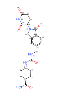 NC(=O)[C@H]1CC[C@@H](NC(=O)NCc2ccc3c(c2)CN(C2CCC(=O)NC2=O)C3=O)CC1